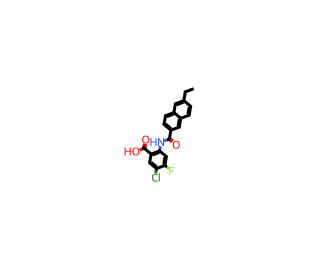 CCc1ccc2cc(C(=O)Nc3cc(F)c(Cl)cc3C(=O)O)ccc2c1